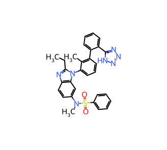 CCc1nc2ccc(N(C)S(=O)(=O)c3ccccc3)cc2n1-c1cccc(-c2ccccc2-c2nnn[nH]2)c1C